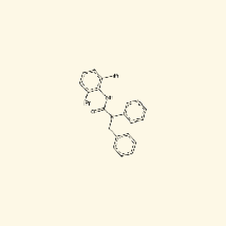 CC(C)c1cccc(C(C)C)c1NC(=O)N(Cc1ccccc1)c1ccccc1